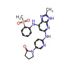 Cc1nc2c(Nc3ccccc3S(C)(=O)=O)cc(Nc3ccc(N4CCCC4=O)cn3)nc2[nH]1